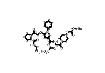 CCCCOC(=O)ON1CCN(C(=O)[C@H](CCC(=O)O)NC(=O)c2cc(OCC(=O)N3CCC[C@H]3C(=O)NCC(F)(F)F)n(-c3ccccc3)n2)CC1